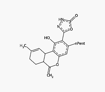 C=C1Oc2cc(CCCCC)c(-c3n[nH]c(=O)o3)c(O)c2C2C=C(C)CCC12